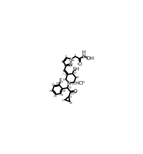 Cl.O=C(Cn1ccc(/C=C2/CN(C(C(=O)C3CC3)c3ccccc3F)CCC2S)n1)NO